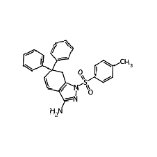 Cc1ccc(S(=O)(=O)n2nc(N)c3c2CC(c2ccccc2)(c2ccccc2)C=C3)cc1